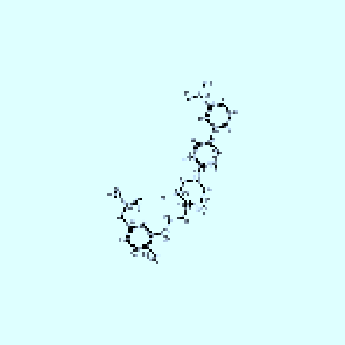 C[C@@H]1CN(c2ncc(-c3cccc(N(C)C)c3)cn2)C[C@H](C)N1CCOc1cc(CC(=O)O)ccc1Cl